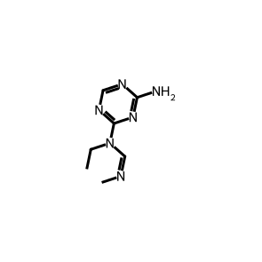 CCN(/C=N\C)c1ncnc(N)n1